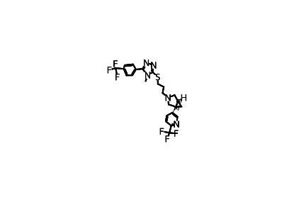 Cn1c(SCCCN2C[C@H]3C[C@@]3(c3ccc(C(F)(F)F)nc3)C2)nnc1-c1ccc(C(F)(F)F)cc1